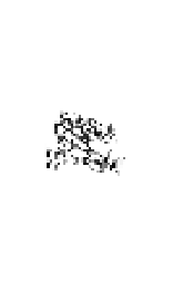 CCCC(CCC)n1c(=O)c2c3cc([Si](C)(C)C)c4ccc5ccc6c([Si](C)(C)C)cc(c2c1=O)c1c6c5c4c31